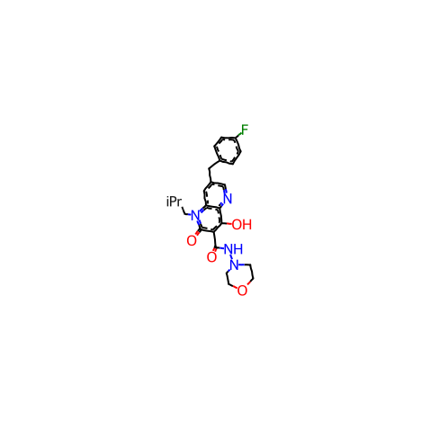 CC(C)Cn1c(=O)c(C(=O)NN2CCOCC2)c(O)c2ncc(Cc3ccc(F)cc3)cc21